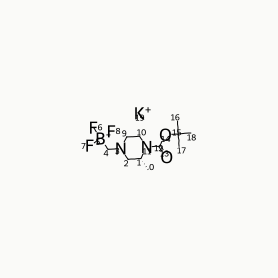 C[C@@H]1CN(C[B-](F)(F)F)CCN1C(=O)OC(C)(C)C.[K+]